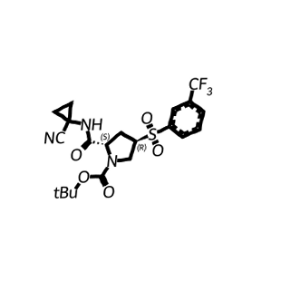 CC(C)(C)OC(=O)N1C[C@H](S(=O)(=O)c2cccc(C(F)(F)F)c2)C[C@H]1C(=O)NC1(C#N)CC1